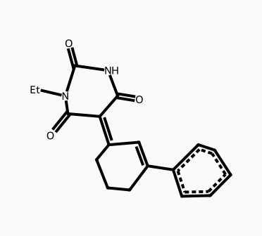 CCN1C(=O)NC(=O)/C(=C2\C=C(c3ccccc3)CCC2)C1=O